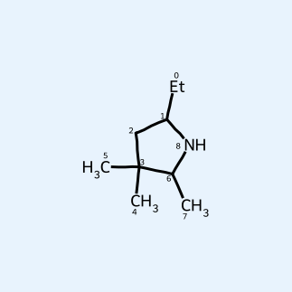 CCC1CC(C)(C)C(C)N1